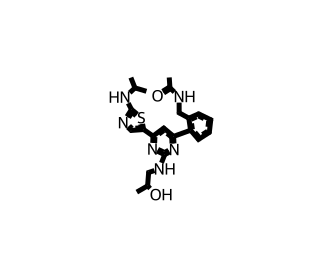 CC(=O)NCc1ccccc1-c1cc(-c2cnc(NC(C)C)s2)nc(NCC(C)O)n1